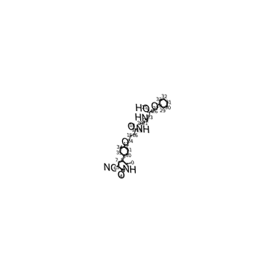 Cc1[nH]c(=O)c(C#N)cc1-c1ccc(OCCCC(=O)NCCNCC(O)COc2ccccc2)cc1